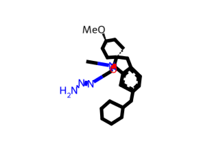 CO[C@H]1CC[C@]2(CC1)Cc1ccc(CC3CCCCC3)cc1C21N=C(N=NN)N(C)O1